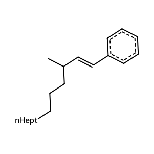 CCCCCCCCCCC(C)C=Cc1ccccc1